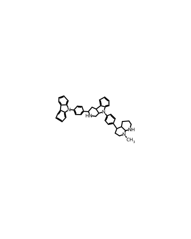 CN1CCC(c2ccc(N3c4ccccc4C4CC(c5ccc(-n6c7ccccc7c7ccccc76)cc5)NCC43)cc2)C2CCCNC21